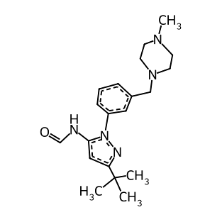 CN1CCN(Cc2cccc(-n3nc(C(C)(C)C)cc3NC=O)c2)CC1